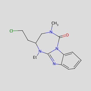 CCN1c2nc3ccccc3n2C(=O)N(C)CC1CCCl